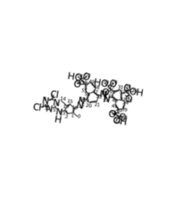 Cc1cc(Nc2nc(Cl)nc(Cl)n2)c(C)cc1/N=N/c1ccc(/N=N/c2c(S(=O)(=O)O)cc(S(=O)(=O)O)c3ccc(S(=O)(=O)O)cc23)c2ccc(S(=O)(=O)O)cc12